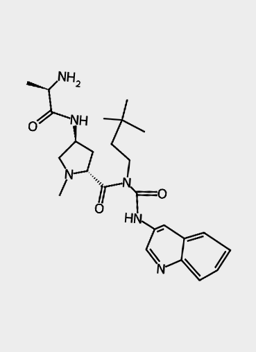 C[C@@H](N)C(=O)N[C@H]1C[C@H](C(=O)N(CCC(C)(C)C)C(=O)Nc2cnc3ccccc3c2)N(C)C1